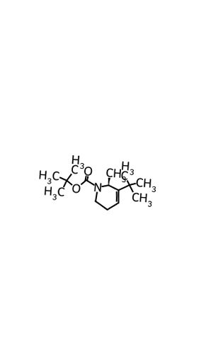 C[C@H]1C(C(C)(C)C)=CCCN1C(=O)OC(C)(C)C